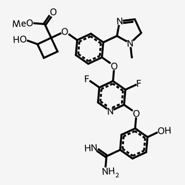 COC(=O)C1(Oc2ccc(Oc3c(F)cnc(Oc4cc(C(=N)N)ccc4O)c3F)c(C3N=CCN3C)c2)CCC1O